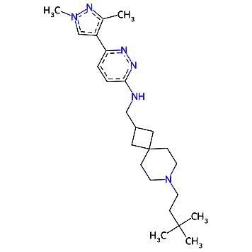 Cc1nn(C)cc1-c1ccc(NCC2CC3(CCN(CCC(C)(C)C)CC3)C2)nn1